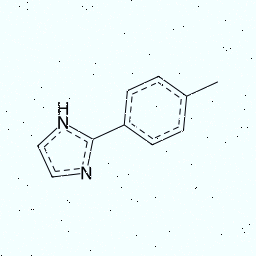 Cc1ccc(-c2ncc[nH]2)cc1